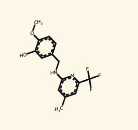 COc1ccc(CNc2cc(C)cc(C(F)(F)F)n2)cc1O